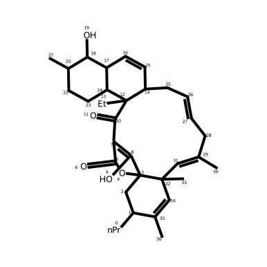 CCCC1CC23OC(=O)C(=C2O)C(=O)C2(CC)C(C=CC4C(O)C(C)CCC42)C/C=C/C/C(C)=C/C3(C)C=C1C